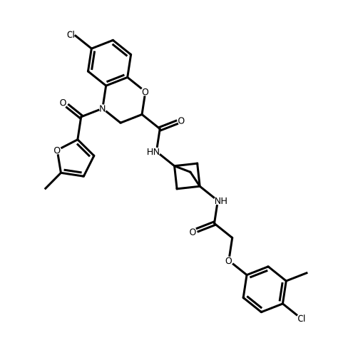 Cc1ccc(C(=O)N2CC(C(=O)NC34CC(NC(=O)COc5ccc(Cl)c(C)c5)(C3)C4)Oc3ccc(Cl)cc32)o1